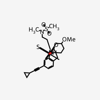 COC1CCC2(CC1)Cc1ccc(C#CC3CC3)cc1C21NC(=S)N(CCN(C)S(C)(=O)=O)C1=O